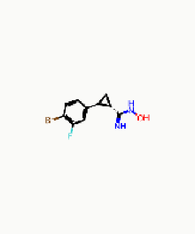 N=C(NO)[C@H]1C[C@@H]1c1ccc(Br)c(F)c1